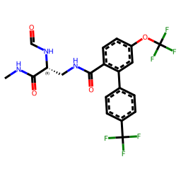 CNC(=O)[C@@H](CNC(=O)c1ccc(OC(F)(F)F)cc1-c1ccc(C(F)(F)F)cc1)NC=O